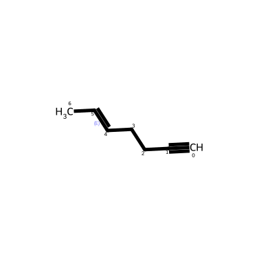 C#CCC/C=[C]/C